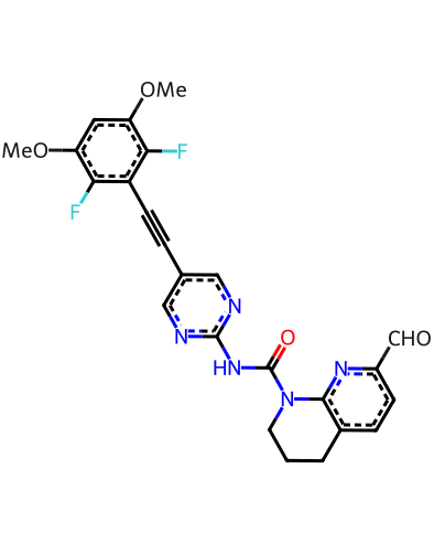 COc1cc(OC)c(F)c(C#Cc2cnc(NC(=O)N3CCCc4ccc(C=O)nc43)nc2)c1F